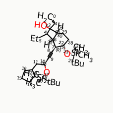 C=CC1(O)C(CC)[C@H]2[C@H](C#C[C@H](CC3CCCC3)O[Si](C)(C)C(C)(C)C)[C@@H](O[Si](C)(C)C(C)(C)C)CC[C@H]21